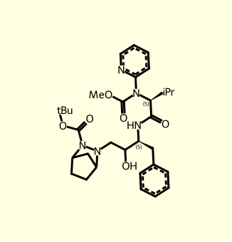 COC(=O)N(c1ccccn1)[C@H](C(=O)N[C@@H](Cc1ccccc1)C(O)CN1C2CCC(C2)N1C(=O)OC(C)(C)C)C(C)C